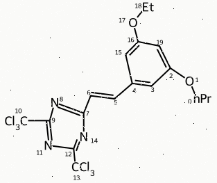 CCCOc1cc(/C=C/c2nc(C(Cl)(Cl)Cl)nc(C(Cl)(Cl)Cl)n2)cc(OCC)c1